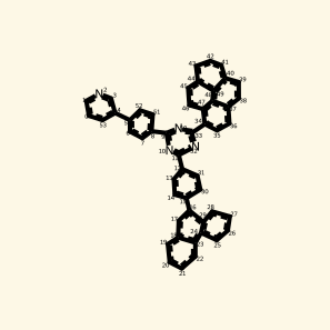 c1cncc(-c2ccc(-c3nc(-c4ccc(-c5cc6ccccc6c6ccccc56)cc4)nc(-c4ccc5ccc6cccc7ccc4c5c67)n3)cc2)c1